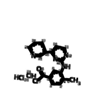 Cc1ccc(C(=O)Cl)cc1Nc1nccc(-c2cccnc2)n1.Cl.Cl